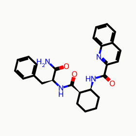 NC(=O)[C@H](Cc1ccccc1)NC(=O)[C@@H]1CCCC[C@@H]1NC(=O)c1ccc2ccccc2n1